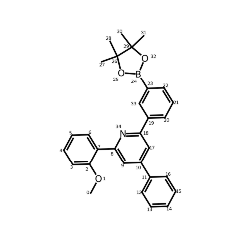 COc1ccccc1-c1cc(-c2ccccc2)cc(-c2cccc(B3OC(C)(C)C(C)(C)O3)c2)n1